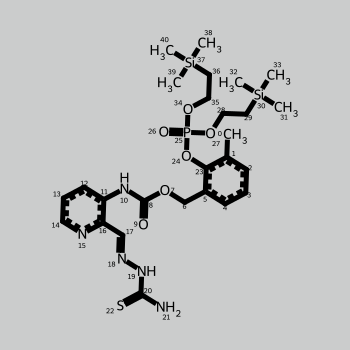 Cc1cccc(COC(=O)Nc2cccnc2C=NNC(N)=S)c1OP(=O)(OCC[Si](C)(C)C)OCC[Si](C)(C)C